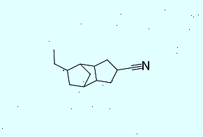 CC[C]1CC2CC1C1CC(C#N)CC21